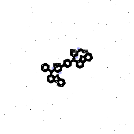 C=C/C(=C\C=C/C)N(c1ccc(C(=C)/C=C\C(=C/C)N(c2ccccc2)c2cccc3c2sc2ccccc23)cc1)c1cccc2c1sc1ccccc12